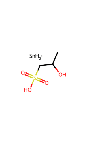 CC(O)CS(=O)(=O)O.[SnH2]